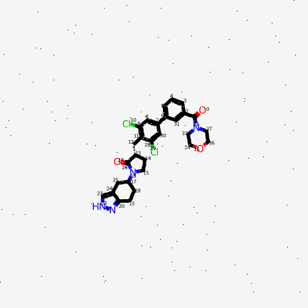 O=C(c1cccc(-c2cc(Cl)c(C[C@@H]3CCN(C4CCc5n[nH]cc5C4)C3=O)c(Cl)c2)c1)N1CCOCC1